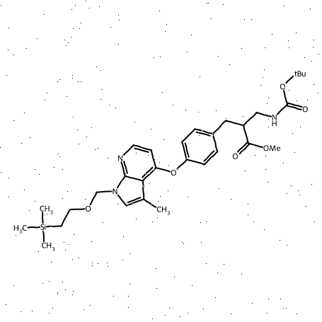 COC(=O)C(CNC(=O)OC(C)(C)C)Cc1ccc(Oc2ccnc3c2c(C)cn3COCC[Si](C)(C)C)cc1